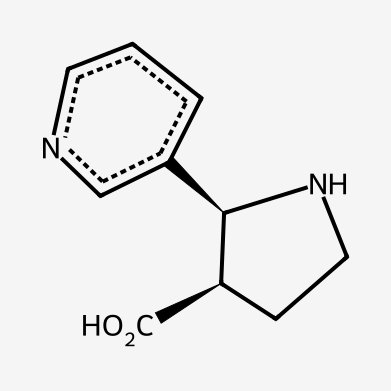 O=C(O)[C@@H]1CCN[C@@H]1c1cccnc1